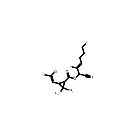 C#CC(OC(=O)C1C(C=C(Cl)Cl)C1(C)C)C(F)=CCCCF